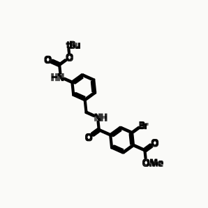 COC(=O)c1ccc(C(=O)NCc2cccc(NC(=O)OC(C)(C)C)c2)cc1Br